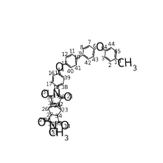 Cc1ccc(Oc2ccc(-c3ccc(Oc4ccc(N5C(=O)C6C7CCC(C8C(=O)N(C)C(=O)C78)C6C5=O)cc4)cc3)cc2)cc1